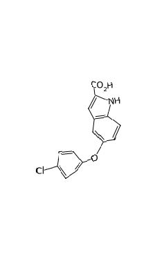 O=C(O)c1cc2cc(Oc3ccc(Cl)cc3)ccc2[nH]1